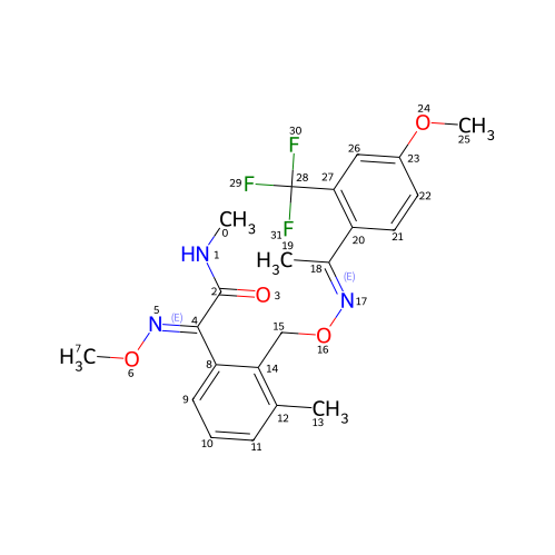 CNC(=O)/C(=N/OC)c1cccc(C)c1CO/N=C(\C)c1ccc(OC)cc1C(F)(F)F